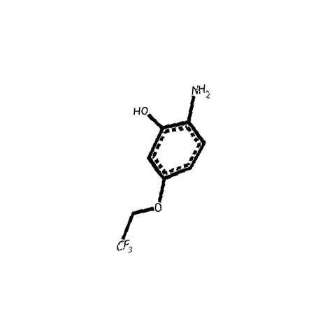 Nc1ccc(OCC(F)(F)F)cc1O